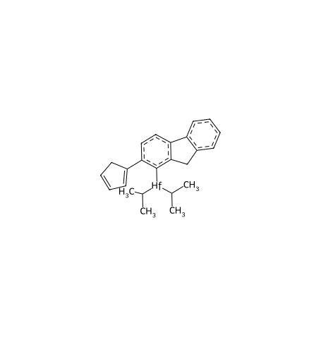 C[CH](C)[Hf]([c]1c(C2=CC=CC2)ccc2c1Cc1ccccc1-2)[CH](C)C